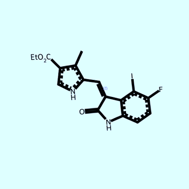 CCOC(=O)c1c[nH]c(/C=C2\C(=O)Nc3ccc(F)c(I)c32)c1C